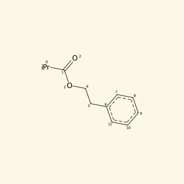 CC(C)C(=O)OCCc1ccccc1